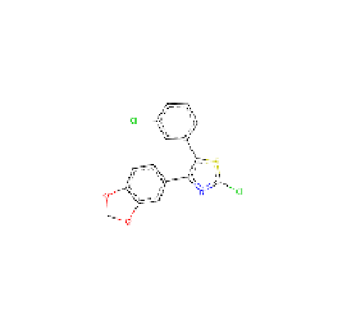 Clc1cccc(-c2sc(Cl)nc2-c2ccc3c(c2)OCO3)c1